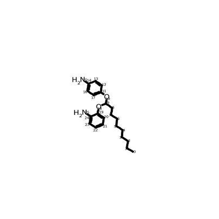 CCCCCCCCCC(Oc1ccc(N)cc1)Oc1ccccc1N